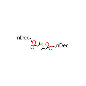 CCCCCCCCCCCCOC(=O)CC(C)SC(C)CC(=O)OCCCCCCCCCCCC